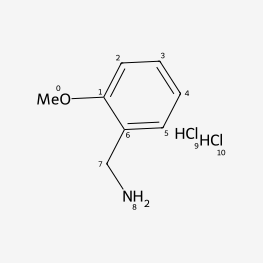 COc1ccccc1CN.Cl.Cl